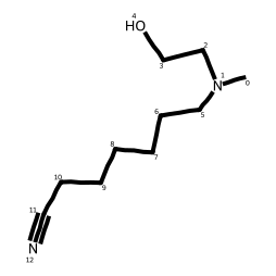 CN(CCO)CCCCCCC#N